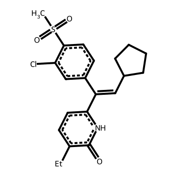 CCc1ccc(/C(=C/C2CCCC2)c2ccc(S(C)(=O)=O)c(Cl)c2)[nH]c1=O